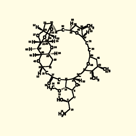 C=C1C2C[C@@H]3OC(C[C@H](O)CN)[C@H](OC)C3CC(=O)C[C@H]3CC[C@@H]4O[C@@H]5[C@H]6O[C@@H]7C[C@](CC[C@H]8CC(=C)[C@H](CCC(C[C@H]1C)O2)O8)(O[C@H]6[C@H]4O3)O[C@H]57